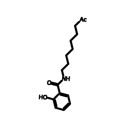 CC(=O)CCCCCCCNC(=O)c1ccccc1O